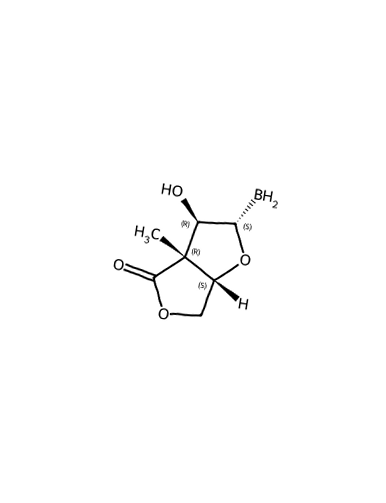 B[C@@H]1O[C@@H]2COC(=O)[C@]2(C)[C@H]1O